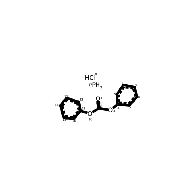 Cl.O=C(Oc1ccccc1)Oc1ccccc1.P